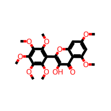 COc1cc(OC)c2c(=O)c(O)c(-c3c(OC)c(OC)c(OC)c(OC)c3OC)oc2c1